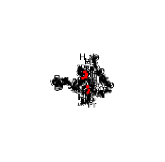 CC[C@H](C)[C@@H]([C@@H](CC(=O)N1C[C@@H](OC(=O)N(C)CCN(C)C(=O)OCc2ccc(NC(=O)[C@H](CCCNC(N)=O)NC(=O)[C@@H](NC(=O)CCCCCN3C(=O)CC(SCC4(CC(=O)ON5C(=O)CCC5=O)CC4)C3=O)C(C)C)cc2)C[C@H]1[C@H](OC)[C@@H](C)C(=O)NCC(=O)c1ccc(C)cc1C)OC)N(C)C(=O)[C@@H](NC(=O)[C@H](C(C)C)N(C)C)C(C)C